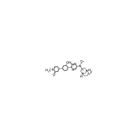 Cn1ccc(-c2ccc(-c3ncc(N(C4CC4)[C@@H]4C[C@H]5CC[C@@H](F)[C@H](C5)C4)nn3)c(O)c2)cc1=O